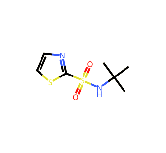 CC(C)(C)NS(=O)(=O)c1nccs1